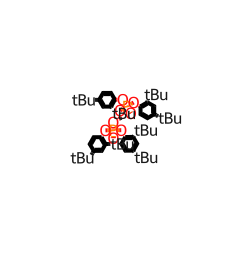 CC(C)(C)c1ccc(OP(=O)(OCOP(=O)(Oc2ccc(C(C)(C)C)cc2C(C)(C)C)Oc2ccc(C(C)(C)C)cc2C(C)(C)C)Oc2ccc(C(C)(C)C)cc2C(C)(C)C)c(C(C)(C)C)c1